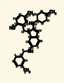 Cc1cccc(CNc2ccc3nc(NC4CCN(C)CC4)n(Cc4nc(C)ccc4O)c3c2)c1